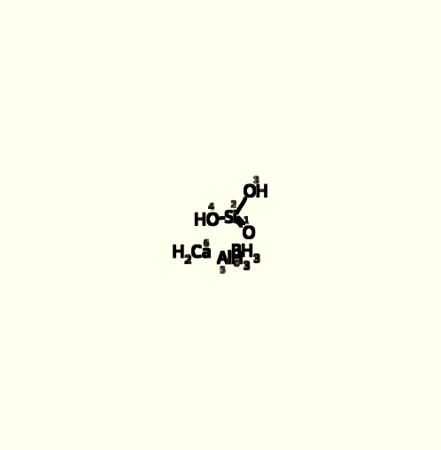 B.O=[Si](O)O.[AlH3].[CaH2]